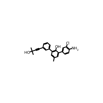 Cc1cc(-c2cccc(C#CC(C)(C)O)c2)c(O)c(-c2ccc(N)c(Cl)c2)c1